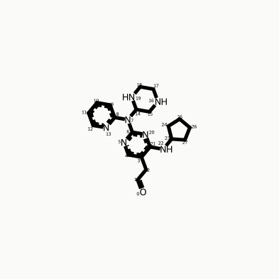 O=CCc1cnc(N(c2ccccn2)C2CNCCN2)nc1NC1CCCC1